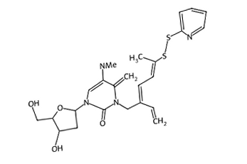 C=C/C(=C\C=C(/C)SSc1ccccn1)CN1C(=C)C(NC)=CN(C2CC(O)C(CO)O2)C1=O